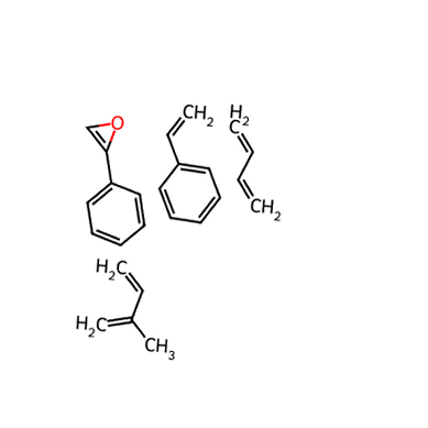 C1=C(c2ccccc2)O1.C=CC(=C)C.C=CC=C.C=Cc1ccccc1